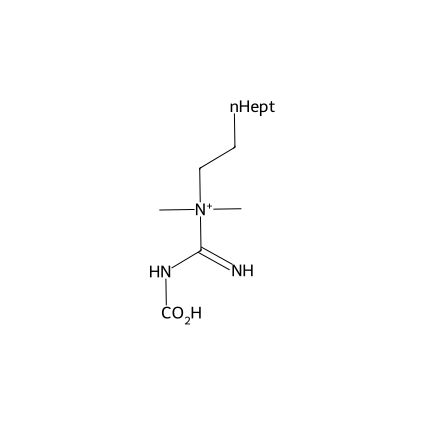 CCCCCCCCC[N+](C)(C)C(=N)NC(=O)O